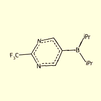 CC(C)B(c1cnc(C(F)(F)F)nc1)C(C)C